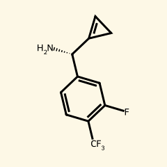 N[C@H](C1=CC1)c1ccc(C(F)(F)F)c(F)c1